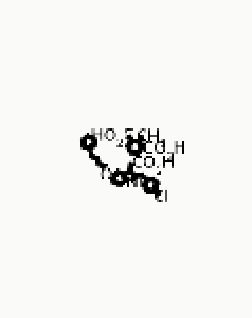 Cc1c(C(=O)O)cccc1C(=O)O.O=C(O)CC1c2cc(OCCCCc3ccccc3)ccc2NC1Cc1ccc(Cl)cc1